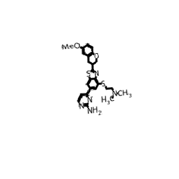 COc1ccc2c(c1)CC(c1nc3c(SCCN(C)C)cc(-c4ccnc(N)n4)cc3s1)CO2